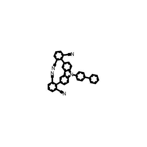 N#Cc1cccc(C#N)c1-c1ccc2c(c1)c1cc(-c3c(C#N)cccc3C#N)ccc1n2-c1ccc(-c2ccccc2)cc1